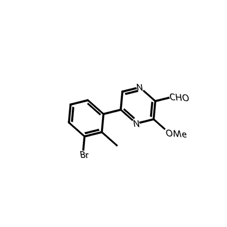 COc1nc(-c2cccc(Br)c2C)cnc1C=O